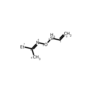 C=C[SiH2]ON=C(C)CC